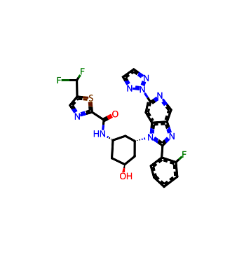 O=C(N[C@H]1C[C@H](O)C[C@@H](n2c(-c3ccccc3F)nc3cnc(-n4nccn4)cc32)C1)c1ncc(C(F)F)s1